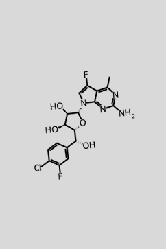 Cc1nc(N)nc2c1c(F)cn2[C@@H]1O[C@H]([C@H](O)c2ccc(Cl)c(F)c2)[C@@H](O)[C@H]1O